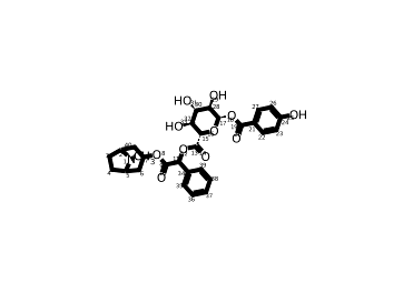 CN1C2CCC1CC(OC(=O)C(OC(=O)[C@H]1O[C@@H](OC(=O)c3ccc(O)cc3)[C@H](O)[C@@H](O)[C@@H]1O)c1ccccc1)C2